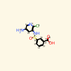 Nc1cnc(Cl)c(N[S+]([O-])c2cccc(C(=O)O)c2)c1